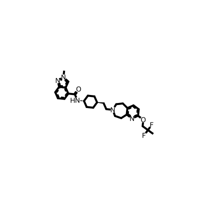 Cn1cc2c(C(=O)N[C@H]3CC[C@H](CCN4CCc5ccc(OCC(C)(F)F)nc5CC4)CC3)cccc2n1